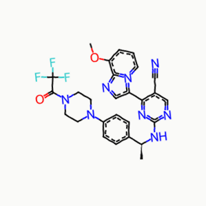 COc1cccn2c(-c3nc(N[C@@H](C)c4ccc(N5CCN(C(=O)C(F)(F)F)CC5)cc4)ncc3C#N)cnc12